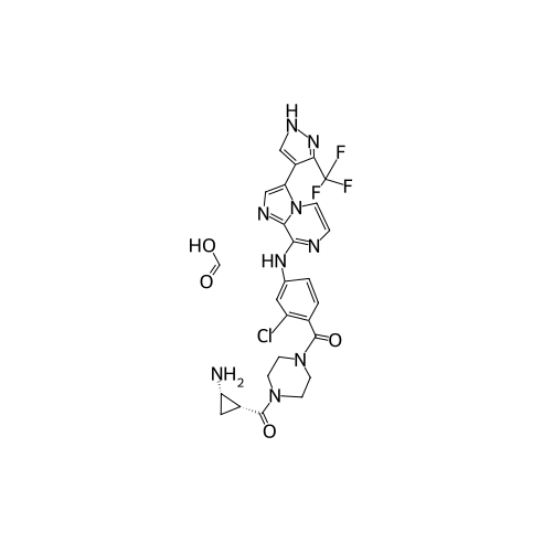 N[C@H]1C[C@H]1C(=O)N1CCN(C(=O)c2ccc(Nc3nccn4c(-c5c[nH]nc5C(F)(F)F)cnc34)cc2Cl)CC1.O=CO